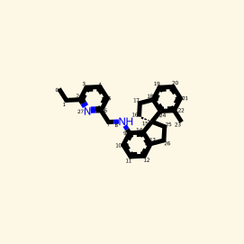 CCc1cccc(CNc2cccc3c2[C@]2(CCc4cccc(C)c42)CC3)n1